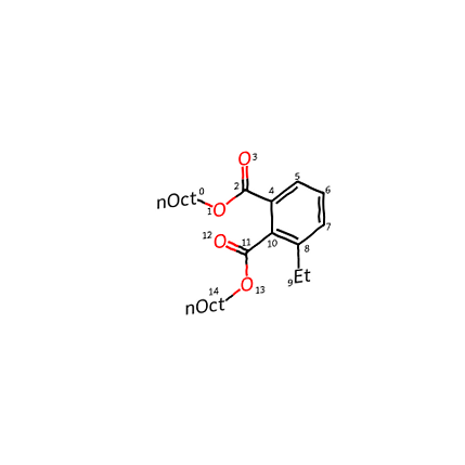 CCCCCCCCOC(=O)c1cccc(CC)c1C(=O)OCCCCCCCC